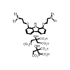 CCN(CC)CCOc1cccc2c1[nH]c1c(OCCN(CC)CC)cccc12.O=C(O)CC(O)(CC(=O)O)C(=O)O.O=C(O)CC(O)(CC(=O)O)C(=O)O